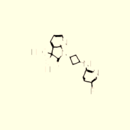 CC1(C)C(=O)N([C@H]2C[C@H](Nc3ccc(F)cn3)C2)c2ncccc21